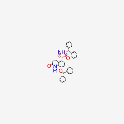 NOC(C(=O)OC(c1ccccc1)c1ccccc1)c1ccc(OC(c2ccccc2)c2ccccc2)c2c1CCC(=O)N2